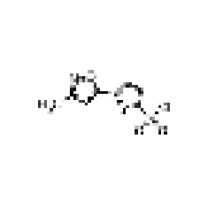 Cc1cc(-c2ccc(S(=O)(=O)Cl)s2)on1